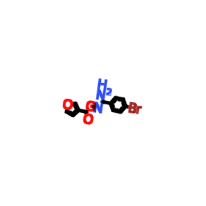 N/C(=N\OC(=O)c1ccoc1)c1ccc(Br)cc1